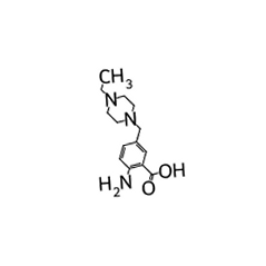 CCN1CCN(Cc2ccc(N)c(C(=O)O)c2)CC1